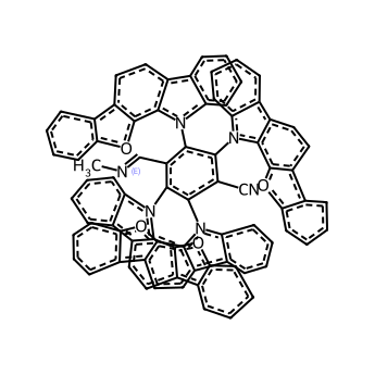 C/N=C/c1c(-n2c3ccccc3c3ccc4c5ccccc5oc4c32)c(-n2c3ccccc3c3ccc4c5ccccc5oc4c32)c(C#N)c(-n2c3ccccc3c3ccc4c5ccccc5oc4c32)c1-n1c2ccccc2c2ccc3c4ccccc4oc3c21